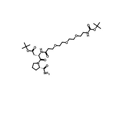 CC(C)(C)OC(=O)C[C@H](NC(=O)CCOCCOCCOCCNC(=O)OC(C)(C)C)C(=O)N1CCC[C@H]1C(N)=O